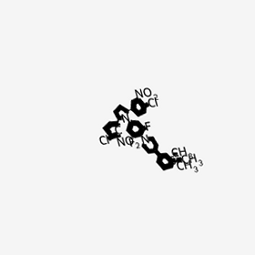 C[Si](C)(C)c1cccc(C2CCN(c3c(F)cc(N4[C@@H](c5ccc(Cl)c([N+](=O)[O-])c5)CC[C@@H]4c4ccc(Cl)c([N+](=O)[O-])c4)cc3F)CC2)c1